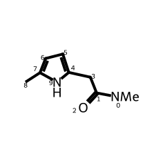 CNC(=O)Cc1ccc(C)[nH]1